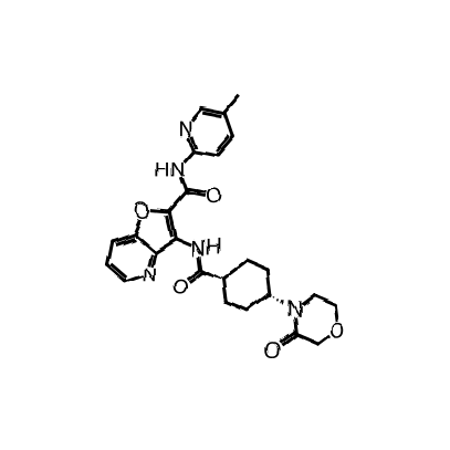 Cc1ccc(NC(=O)c2oc3cccnc3c2NC(=O)[C@H]2CC[C@H](N3CCOCC3=O)CC2)nc1